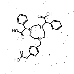 O=C(O)Cc1ccc(CN2CCN(C(C(=O)O)c3ccccc3)CCN(C(C(=O)O)c3ccccc3)CC2)cc1